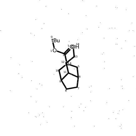 CC(C)(C)OC(=O)N1CC2CCC(C1)C2CCO